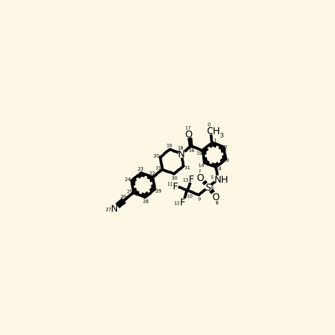 Cc1ccc(NS(=O)(=O)CC(F)(F)F)cc1C(=O)N1CCC(c2ccc(C#N)cc2)CC1